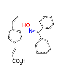 C=CC(=O)O.C=Cc1ccccc1.ON=C(c1ccccc1)c1ccccc1